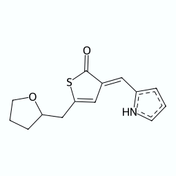 O=C1SC(CC2CCCO2)=CC1=Cc1ccc[nH]1